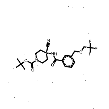 CC(C)(C)OC(=O)N1CCC(C#N)(NC(=O)c2cccc(COCC(F)(F)F)c2)CC1